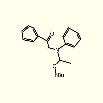 CCCCOC(C)N(CC(=O)c1ccccc1)c1ccccc1